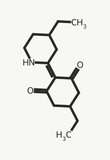 CCC1CC(=O)C(=C2CC(CC)CCN2)C(=O)C1